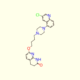 O=C1CCc2ccc(OCCCCN3CCN(c4cccc5ncc(Cl)cc45)CC3)nc2N1